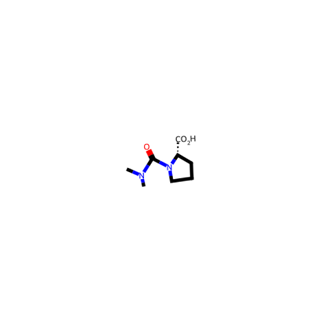 CN(C)C(=O)N1CCC[C@H]1C(=O)O